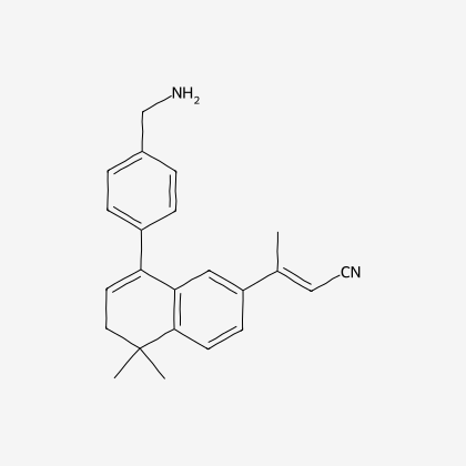 C/C(=C\C#N)c1ccc2c(c1)C(c1ccc(CN)cc1)=CCC2(C)C